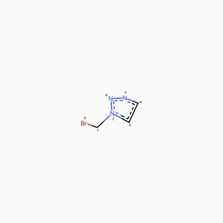 BrCn1ccnn1